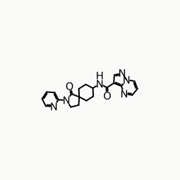 O=C(NC1CCC2(CC1)CCN(c1ccccn1)C2=O)c1cnn2cccnc12